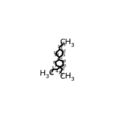 CCCC1(CCC)CCC([C@H]2CC[C@H](CCC)CC2)CC1